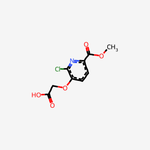 COC(=O)c1ccc(OCC(=O)O)c(Cl)n1